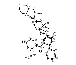 CC(CC1CCCCC1)C(=O)N1CC[C@](O)(Cn2cc(C(=O)N3CCNC[C@H]3CO)c(-c3ccccc3)cc2=O)C(C)(C)C1